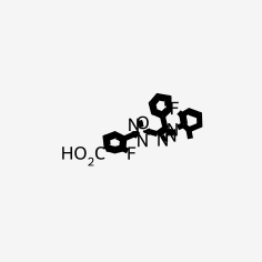 CC1CC=CC(F)=C1n1nnc(-c2nc(-c3ccc(C(=O)O)cc3F)no2)c1-c1ccccc1